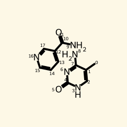 Cc1c[nH]c(=O)nc1N.NC(=O)c1cccnc1